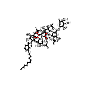 CCCCCC/C=C\CCCOc1cccc(C(=O)N[C@@H]2C(O[C@H]3C(O)C(NC(C)=O)[C@H](O[C@@H](C)C(CO)O[C@@H](O[C@H]4C(O)C(NC(C)=O)C(OC5C(CO[C@@H]6OC(C)C(O)[C@H](O)[C@H]6OC)OC(O)[C@@H](NC(C)=O)[C@H]5O)O[C@H]4CO)[C@H](CO)NC(C)=O)O[C@H]3CO)OC(CO)[C@@H](O)C2O)c1